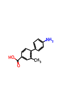 Cc1cc(C(=O)O)ccc1-c1ccc(N)cc1